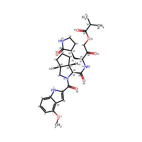 COc1cccc2[nH]c(C(=O)N3C[C@@H]4CCC[C@@H]4[C@H]3C(=O)N[C@@H](C[C@@H]3CCNC3=O)C(=O)COC(=O)C(C)C)cc12